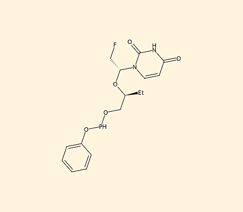 CC[C@@H](COPOc1ccccc1)O[C@H](CF)n1ccc(=O)[nH]c1=O